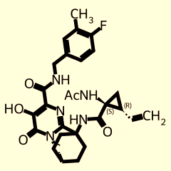 C=C[C@H]1C[C@@]1(NC(C)=O)C(=O)NC12CCC(CC1)Cn1c2nc(C(=O)NCc2ccc(F)c(C)c2)c(O)c1=O